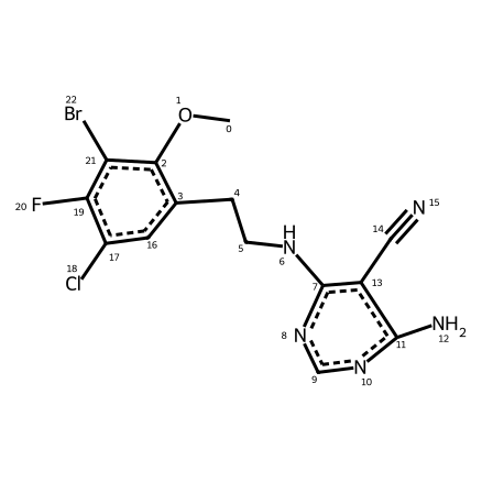 COc1c(CCNc2ncnc(N)c2C#N)cc(Cl)c(F)c1Br